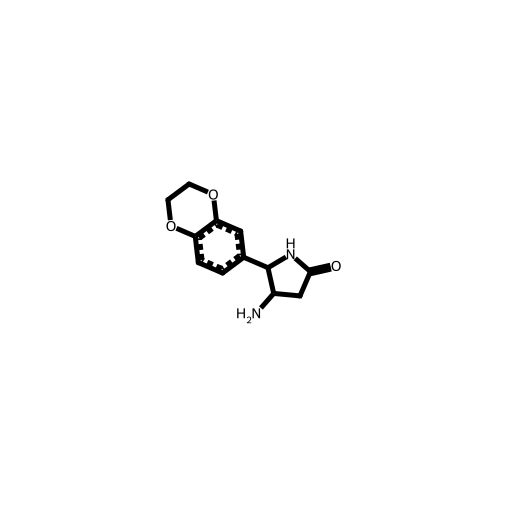 NC1CC(=O)NC1c1ccc2c(c1)OCCO2